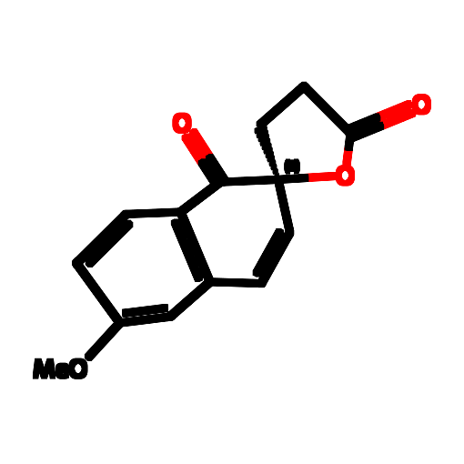 COc1ccc2c(c1)C=C[C@@]1(CCC(=O)O1)C2=O